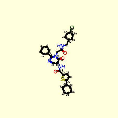 O=C(Cn1c(-c2ccccc2)ncc(NC(=O)c2ccc(-c3ccccc3)s2)c1=O)NCc1ccc(Cl)cc1